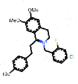 COc1cc2c(cc1OC)C(CCc1ccc(C(C)(C)C)cc1)=[N+](Cc1ccccc1F)CC2.[Cl-]